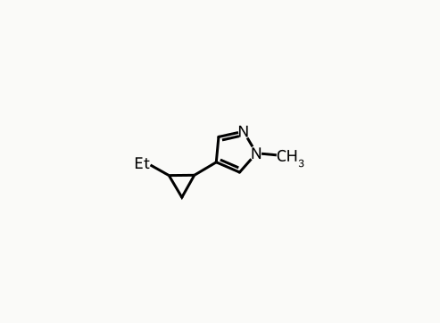 CCC1CC1c1cnn(C)c1